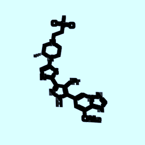 COc1cc(-c2[nH]nc(-c3ncc(N4CCN(CCS(C)(=O)=O)C[C@H]4C)s3)c2C(C)C)cn2ncnc12